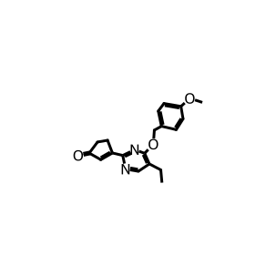 CCc1cnc(C2=CC(=O)CC2)nc1OCc1ccc(OC)cc1